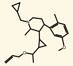 C=CCOC(C)C1CC1C1C(c2cc(OC)ccc2C)CCN(CC2CC2)C1C